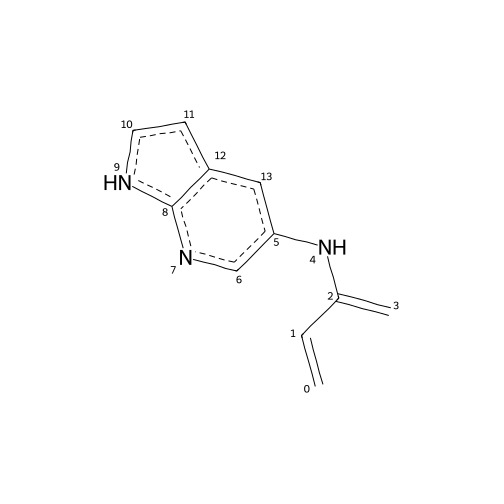 C=CC(=C)Nc1cnc2[nH]ccc2c1